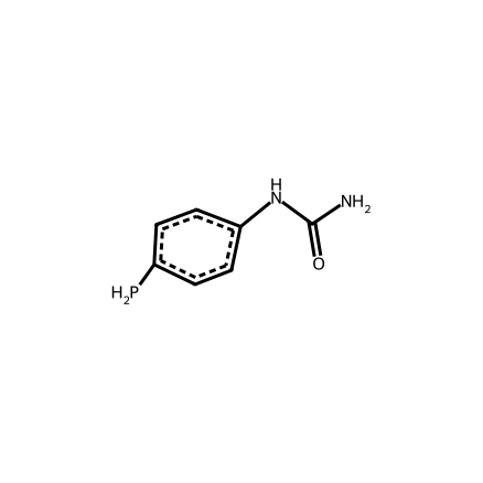 NC(=O)Nc1ccc(P)cc1